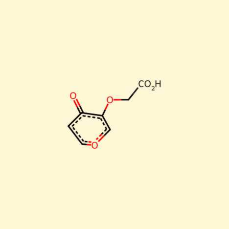 O=C(O)COc1coccc1=O